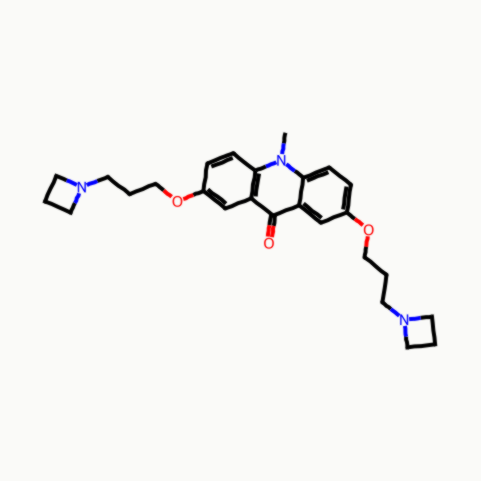 Cn1c2ccc(OCCCN3CCC3)cc2c(=O)c2cc(OCCCN3CCC3)ccc21